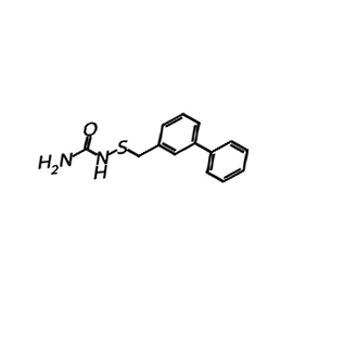 NC(=O)NSCc1cccc(-c2ccccc2)c1